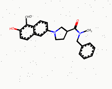 CN(Cc1ccccc1)C(=O)C1CCN(c2ccc3c(C=O)c(O)ccc3c2)C1